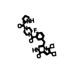 O=C(c1cc(Cc2c[nH]c(=O)c3cc(Cl)c(Cl)n23)ccc1F)N1CCN(C(=O)[C@H]2CCCN2)CC1